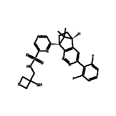 CC1(C)[C@H]2CC[C@]1(c1cccc(S(=O)(=O)NCC3(O)COC3)n1)c1nnc(-c3c(F)cccc3F)cc12